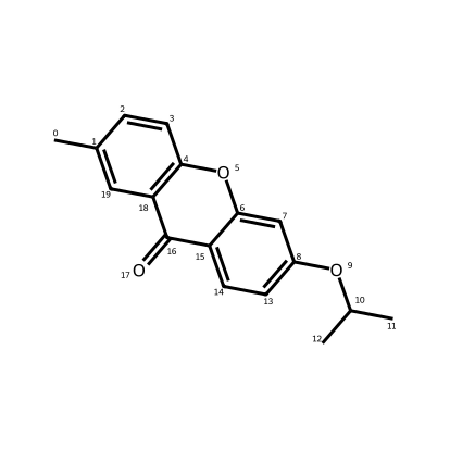 Cc1ccc2oc3cc(OC(C)C)ccc3c(=O)c2c1